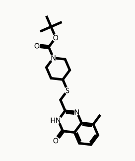 Cc1cccc2c(=O)[nH]c(CSC3CCN(C(=O)OC(C)(C)C)CC3)nc12